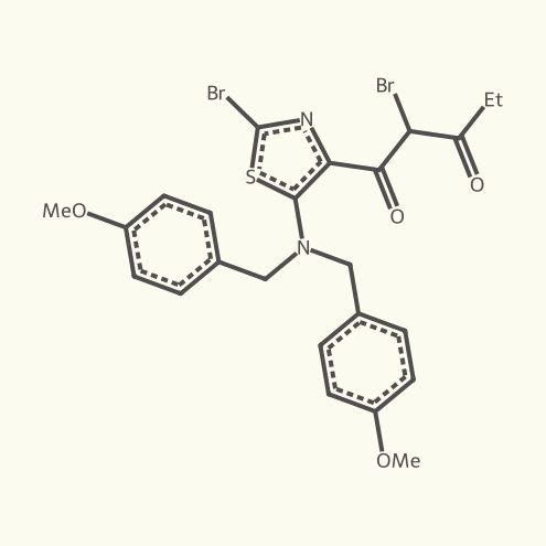 CCC(=O)C(Br)C(=O)c1nc(Br)sc1N(Cc1ccc(OC)cc1)Cc1ccc(OC)cc1